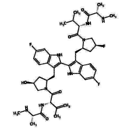 C=C(C)[C@H](NC(=O)[C@H](C)NC)C(=O)N1C[C@@H](O)C[C@H]1Cc1c(-c2[nH]c3cc(F)ccc3c2C[C@@H]2C[C@H](F)CN2C(=O)[C@@H](NC(=O)[C@H](C)NC)C(C)C)[nH]c2cc(F)ccc12